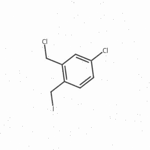 ClCc1cc(Cl)ccc1CI